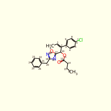 CC=C(c1ccc(Cl)cc1)C(OC(=O)CCC)c1nc(Cc2ccccc2)no1